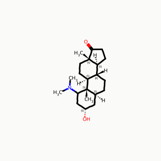 CN(C)C1C[C@@H](O)C[C@@H]2CC[C@@H]3[C@H](CC[C@]4(C)C(=O)CC[C@@H]34)[C@@]12C